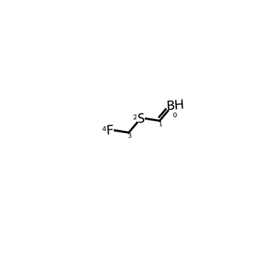 B=CSCF